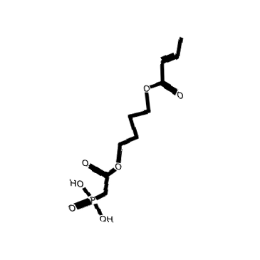 CC=CC(=O)OCCCCOC(=O)CP(=O)(O)O